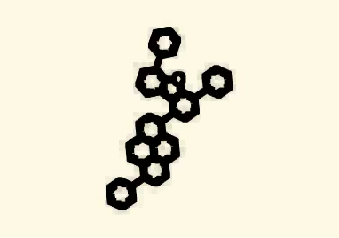 c1ccc(-c2ccc3ccc4c(-c5ccc(-c6ccccc6)c6oc7c(-c8ccccc8)cccc7c56)ccc5ccc2c3c54)cc1